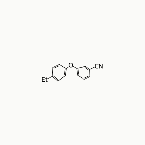 CCc1ccc(Oc2cccc(C#N)c2)cc1